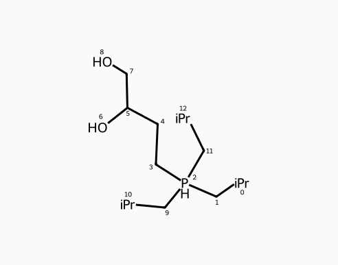 CC(C)C[PH](CCC(O)CO)(CC(C)C)CC(C)C